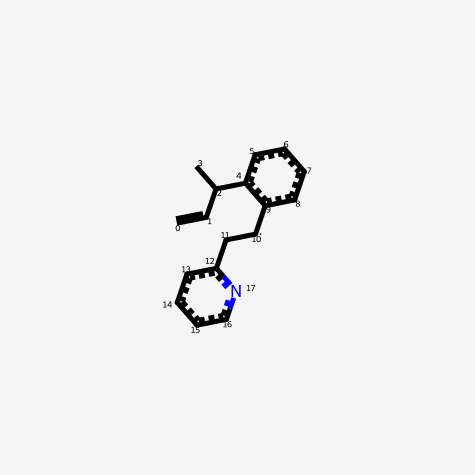 C=CC(C)c1ccccc1[CH]Cc1ccccn1